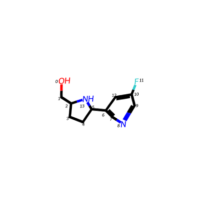 OCC1CCC(c2cncc(F)c2)N1